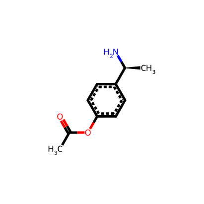 CC(=O)Oc1ccc([C@H](C)N)cc1